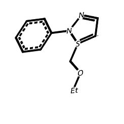 CCOCS1=[C]C=NN1c1ccccc1